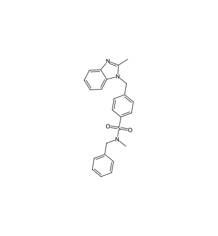 Cc1nc2ccccc2n1Cc1ccc(S(=O)(=O)N(C)Cc2ccccc2)cc1